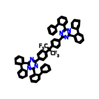 FC(F)(F)C(c1ccc(-c2nc(-c3ccccc3-c3ccccc3)nc(-c3ccccc3-c3ccccc3)n2)cc1)(c1ccc(-c2nc(-c3ccccc3-c3ccccc3)nc(-c3ccccc3-c3ccccc3)n2)cc1)C(F)(F)F